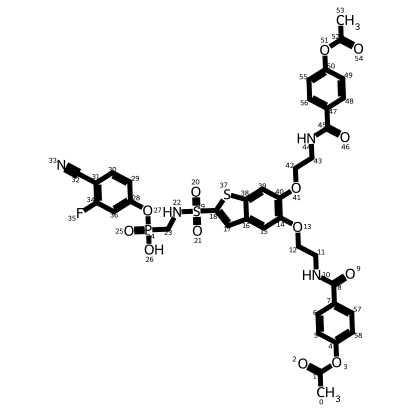 CC(=O)Oc1ccc(C(=O)NCCOc2cc3cc(S(=O)(=O)NCP(=O)(O)Oc4ccc(C#N)c(F)c4)sc3cc2OCCNC(=O)c2ccc(OC(C)=O)cc2)cc1